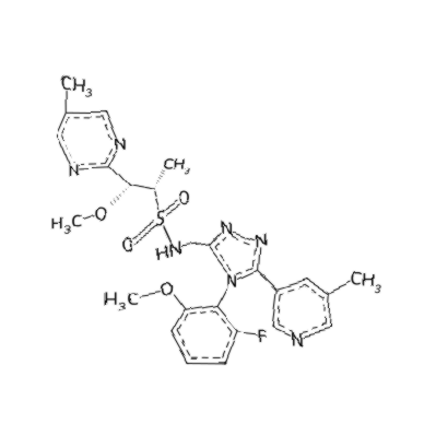 COc1cccc(F)c1-n1c(NS(=O)(=O)[C@@H](C)[C@H](OC)c2ncc(C)cn2)nnc1-c1cncc(C)c1